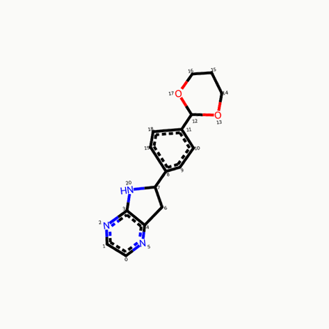 c1cnc2c(n1)CC(c1ccc(C3OCCCO3)cc1)N2